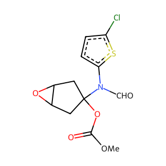 COC(=O)OC1(N(C=O)c2ccc(Cl)s2)CC2OC2C1